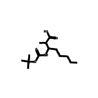 CCCCCC(NC(=O)OC(C)(C)C)C(C)C(=O)O